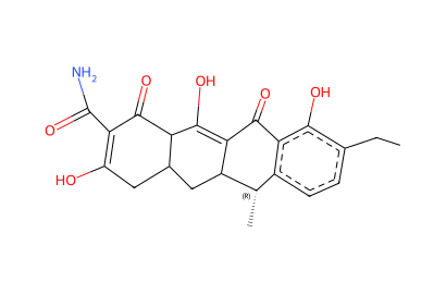 CCc1ccc2c(c1O)C(=O)C1=C(O)C3C(=O)C(C(N)=O)=C(O)CC3CC1[C@H]2C